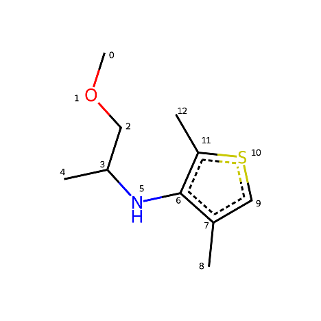 COCC(C)Nc1c(C)csc1C